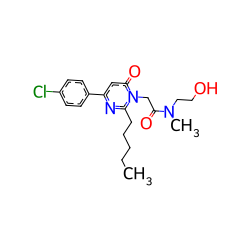 CCCCCc1nc(-c2ccc(Cl)cc2)cc(=O)n1CC(=O)N(C)CCO